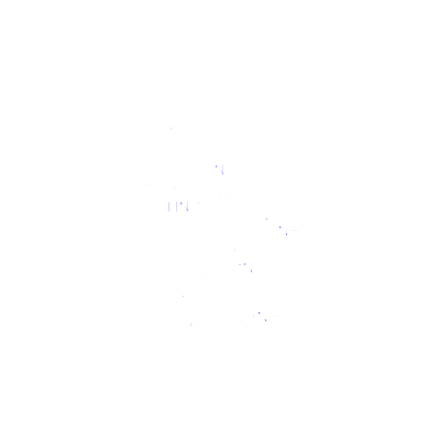 CNc1ccccc1Nc1cc2c(cc1N)Nc1cc(Cl)ccc1N2